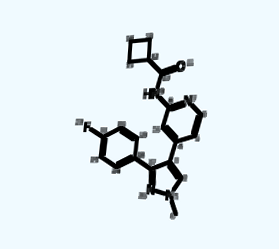 Cn1cc(-c2ccnc(NC(=O)C3CCC3)c2)c(-c2ccc(F)cc2)n1